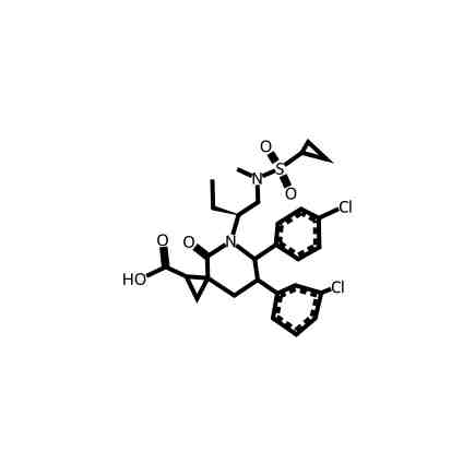 CC[C@@H](CN(C)S(=O)(=O)C1CC1)N1C(=O)C2(CC(c3cccc(Cl)c3)C1c1ccc(Cl)cc1)CC2C(=O)O